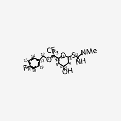 CNC(=N)SC1C[C@@H](O)C[C@@H]([C@@H](OCc2ccc(F)cc2)C(F)(F)F)O1